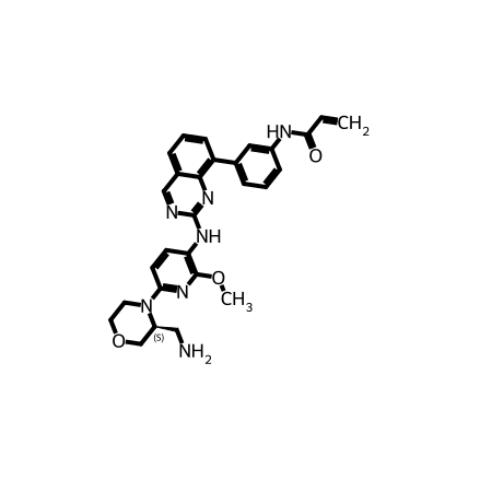 C=CC(=O)Nc1cccc(-c2cccc3cnc(Nc4ccc(N5CCOC[C@@H]5CN)nc4OC)nc23)c1